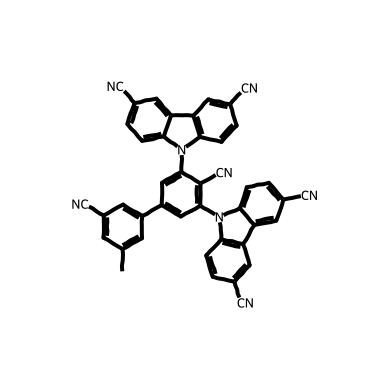 Cc1cc(C#N)cc(-c2cc(-n3c4ccc(C#N)cc4c4cc(C#N)ccc43)c(C#N)c(-n3c4ccc(C#N)cc4c4cc(C#N)ccc43)c2)c1